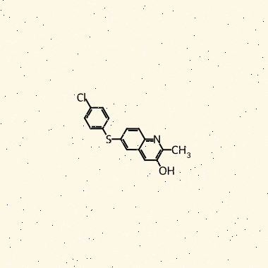 Cc1nc2ccc(Sc3ccc(Cl)cc3)cc2cc1O